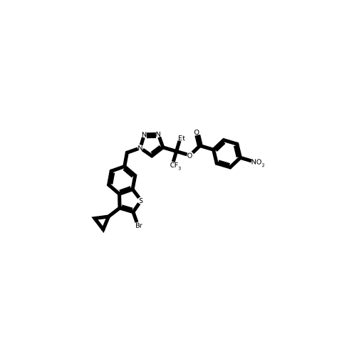 CCC(OC(=O)c1ccc([N+](=O)[O-])cc1)(c1cn(Cc2ccc3c(C4CC4)c(Br)sc3c2)nn1)C(F)(F)F